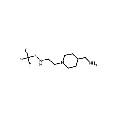 NCC1CCN(CCNSC(F)(F)F)CC1